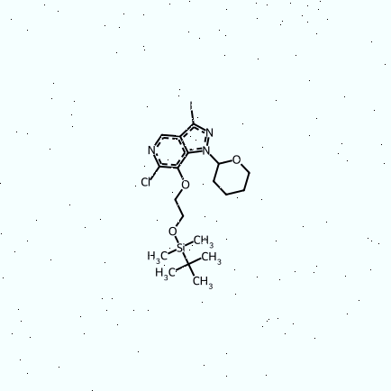 CC(C)(C)[Si](C)(C)OCCOc1c(Cl)ncc2c(I)nn(C3CCCCO3)c12